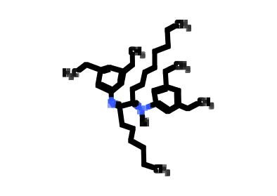 CCCCCCCCC(C(CCCCCC)=Nc1cc(CC)cc(CC)c1)=[N+]([Ni])c1cc(CC)cc(CC)c1